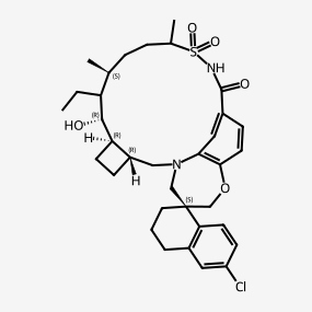 CCC1[C@@H](O)[C@@H]2CC[C@H]2CN2C[C@@]3(CCCc4cc(Cl)ccc43)COc3ccc(cc32)C(=O)NS(=O)(=O)C(C)CC[C@@H]1C